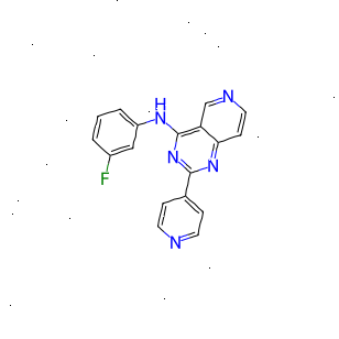 Fc1cccc(Nc2nc(-c3ccncc3)nc3ccncc23)c1